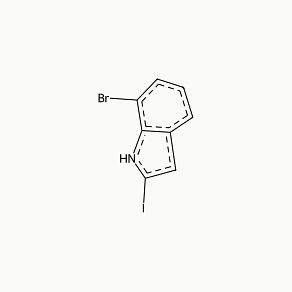 Brc1cccc2cc(I)[nH]c12